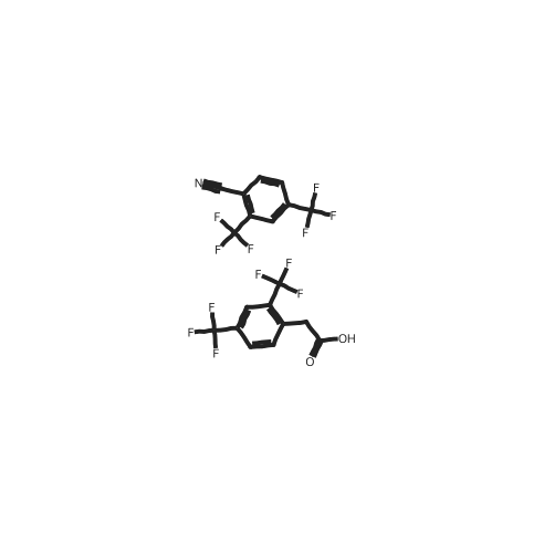 N#Cc1ccc(C(F)(F)F)cc1C(F)(F)F.O=C(O)Cc1ccc(C(F)(F)F)cc1C(F)(F)F